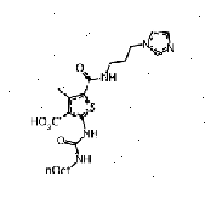 CCCCCCCCNC(=O)Nc1sc(C(=O)NCCCn2ccnc2)c(C)c1C(=O)O